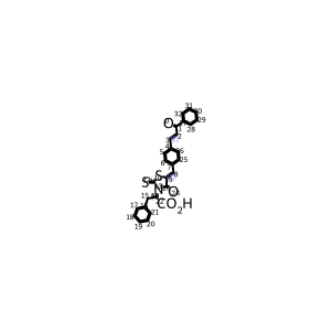 O=C(/C=C/c1ccc(/C=C2\SC(=S)N([C@@H](Cc3ccccc3)C(=O)O)C2=O)cc1)c1ccccc1